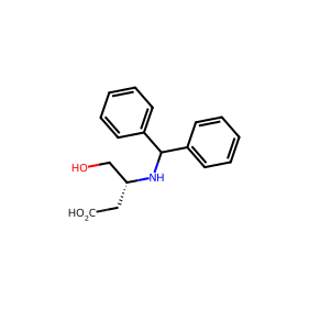 O=C(O)C[C@H](CO)NC(c1ccccc1)c1ccccc1